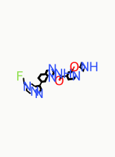 O=C(Nc1ncc2ccc(-c3cnn4c3CN(CCF)CC4)cc2n1)c1ccnc(OC2CNC2)c1